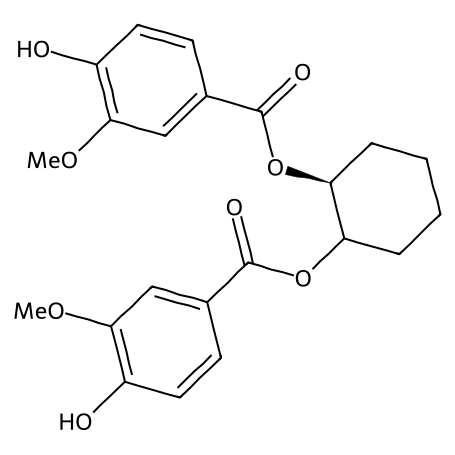 COc1cc(C(=O)OC2CCCC[C@@H]2OC(=O)c2ccc(O)c(OC)c2)ccc1O